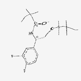 CC(C)(C)[S@@+]([O-])N[C@H](CO[Si](C)(C)C(C)(C)C)c1ccc(F)c(F)c1